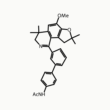 COc1cc2c(c3c1OC(C)(C)C3)C(c1cccc(-c3ccc(NC(C)=O)cc3)c1)=NCC2(C)C